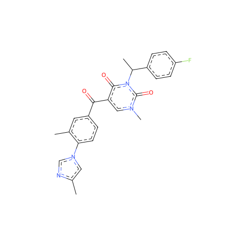 Cc1cn(-c2ccc(C(=O)c3cn(C)c(=O)n(C(C)c4ccc(F)cc4)c3=O)cc2C)cn1